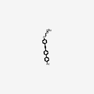 CCCCOCCOc1ccc(C#Cc2ccc(-c3ccc(C(C)=O)cc3)cc2)cc1